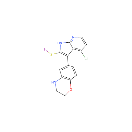 Clc1ccnc2[nH]c(SI)c(-c3ccc4c(c3)NCCO4)c12